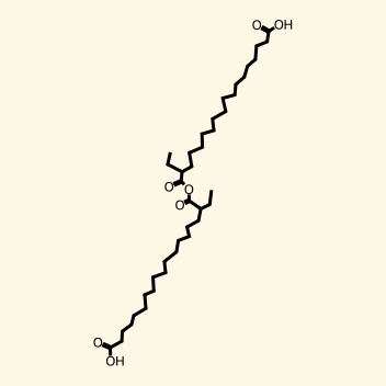 CCC(CCCCCCCCCCCCCCCC(=O)O)C(=O)OC(=O)C(CC)CCCCCCCCCCCCCCCC(=O)O